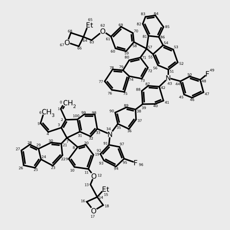 C=CC1=C(/C=C\C)C(c2ccc(OCC3(CC)COC3)cc2)(c2ccc3ccccc3c2)c2cc(N(c3ccc(-c4ccc(N(c5cccc(F)c5)c5ccc6c(c5)C(c5ccc(OCC7(CC)COC7)cc5)(c5ccc7ccccc7c5)c5ccccc5-6)cc4)cc3)c3cccc(F)c3)ccc21